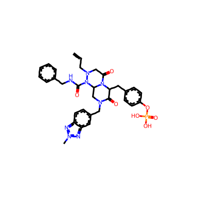 C=CCN1CC(=O)N2C(Cc3ccc(OP(=O)(O)O)cc3)C(=O)N(Cc3ccc4nn(C)nc4c3)CC2N1C(=O)NCc1ccccc1